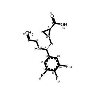 C=CCN[C@H](CN1C[C@H]1C(=O)O)c1cc(F)c(F)c(F)c1